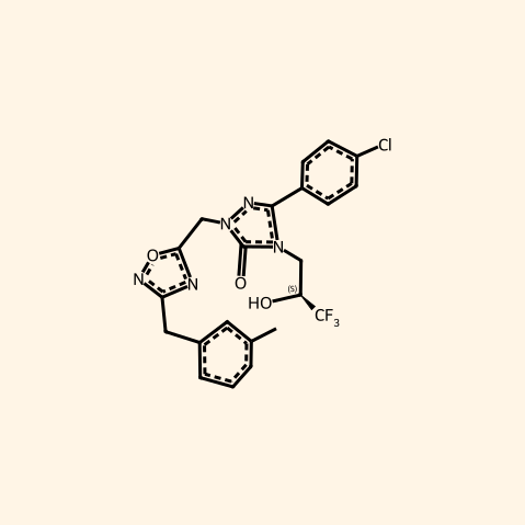 Cc1cccc(Cc2noc(Cn3nc(-c4ccc(Cl)cc4)n(C[C@H](O)C(F)(F)F)c3=O)n2)c1